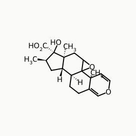 C[C@@H]1C[C@H]2[C@@H]3CCC4=COC=C[C@]4(C)C34OC4C[C@]2(C)[C@@]1(O)C(=O)O